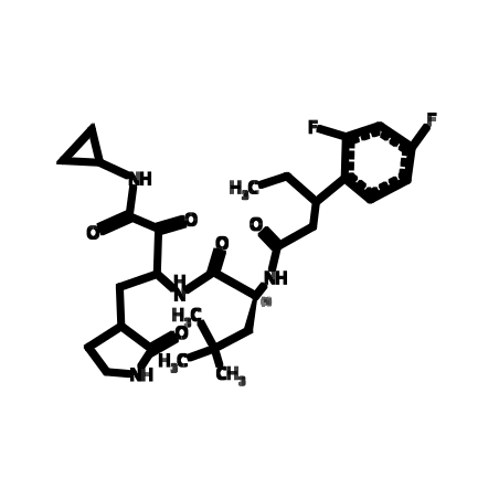 CCC(CC(=O)N[C@@H](CC(C)(C)C)C(=O)NC(CC1CCNC1=O)C(=O)C(=O)NC1CC1)c1ccc(F)cc1F